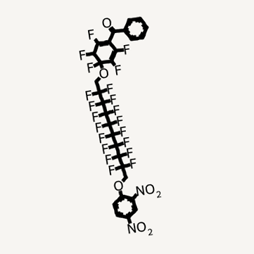 O=C(C1=C(F)C(F)C(F)(OCC(F)(F)C(F)(F)C(F)(F)C(F)(F)C(F)(F)C(F)(F)C(F)(F)C(F)(F)COc2ccc([N+](=O)[O-])cc2[N+](=O)[O-])C(F)=C1F)c1ccccc1